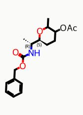 CC(=O)OC1CC[C@@H]([C@@H](C)NC(=O)OCc2ccccc2)OC1C